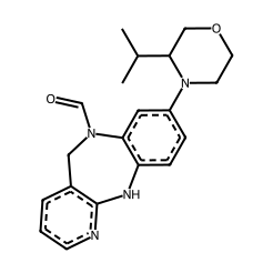 CC(C)C1COCCN1c1ccc2c(c1)N(C=O)Cc1cccnc1N2